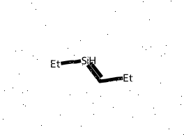 [CH2]CC=[SiH]CC